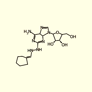 NC1=NC(NNC=C2CCCCC2)=NC2C1N=CN2C1OC(CO)[C@@H](O)[C@H]1O